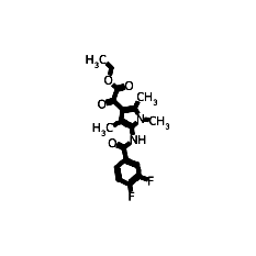 CCOC(=O)C(=O)c1c(C)c(NC(=O)c2ccc(F)c(F)c2)n(C)c1C